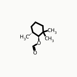 C[C@@H]1CCCC(C)(C)[C@H]1OC=O